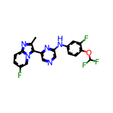 Cc1nc2ccc(F)cn2c1-c1cncc(Nc2ccc(OC(F)F)c(F)c2)n1